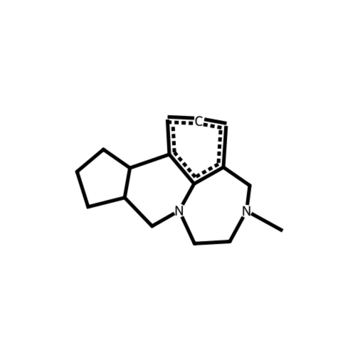 CN1CCN2CC3CCCC3c3cccc(c32)C1